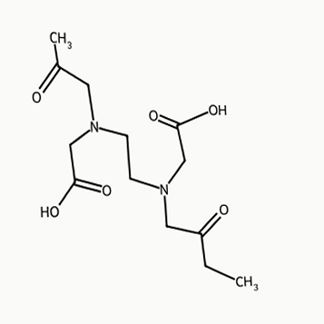 CCC(=O)CN(CCN(CC(C)=O)CC(=O)O)CC(=O)O